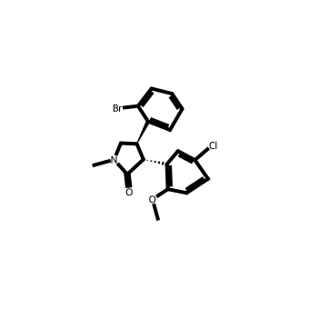 COc1ccc(Cl)cc1[C@@H]1C(=O)N(C)C[C@H]1c1ccccc1Br